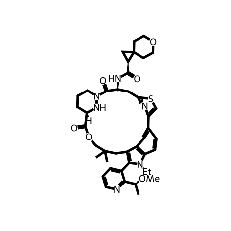 CCn1c(-c2cccnc2[C@H](C)OC)c2c3cc(ccc31)-c1csc(n1)C[C@H](NC(=O)[C@H]1CC13CCOCC3)C(=O)N1CCC[C@H](N1)C(=O)OCC(C)(C)C2